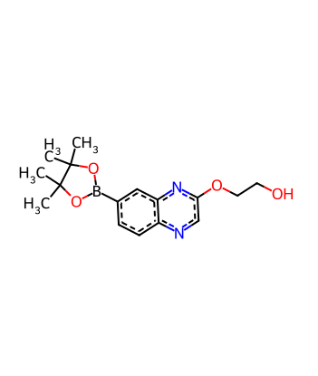 CC1(C)OB(c2ccc3ncc(OCCO)nc3c2)OC1(C)C